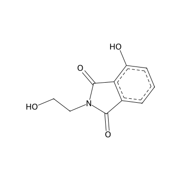 O=C1c2cccc(O)c2C(=O)N1CCO